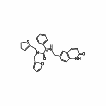 O=C([C@H](NCc1ccc2[nH]c(=O)ccc2c1)c1ccccc1)N(Cc1ccco1)Cc1cccs1